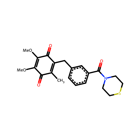 COC1=C(OC)C(=O)C(Cc2cccc(C(=O)N3CCSCC3)c2)=C(C)C1=O